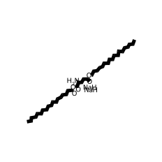 CCCCCCCCCCCCCCCCCCOC(=O)CC[C@H](N)C(=O)OC(=O)CCCCCCCCCCCCCCCCC.[NaH].[NaH]